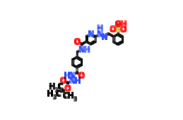 CC(C)(C)OC(=O)NNC(=O)c1ccc(CNC(=O)c2ccc(N/N=C/c3ccccc3S(=O)(=O)O)nc2)cc1